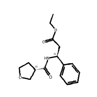 CCOC(=O)C[C@H](NC(=O)[C@H]1CCOC1)c1ccccc1